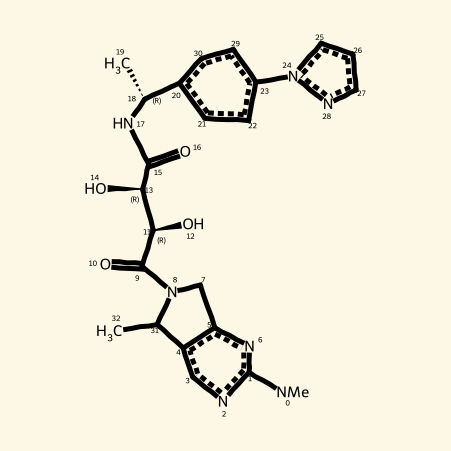 CNc1ncc2c(n1)CN(C(=O)[C@H](O)[C@@H](O)C(=O)N[C@H](C)c1ccc(-n3cccn3)cc1)C2C